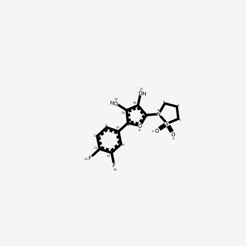 O=S1(=O)CCCN1c1oc(-c2ccc(F)c(F)c2)c(O)c1O